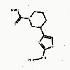 COC(=O)N1CCCC(c2csc(NC=O)n2)C1